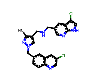 N#Cc1nn(Cc2ccc3ncc(Cl)cc3c2)cc1CNCc1cnc2[nH]cc(Cl)c2c1